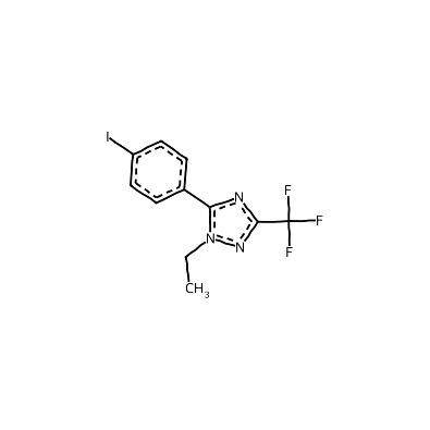 CCn1nc(C(F)(F)F)nc1-c1ccc(I)cc1